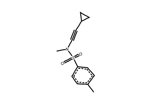 Cc1ccc(S(=O)(=O)N(C)C#CC2CC2)cc1